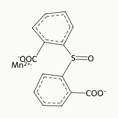 O=C([O-])c1ccccc1S(=O)c1ccccc1C(=O)[O-].[Mn+2]